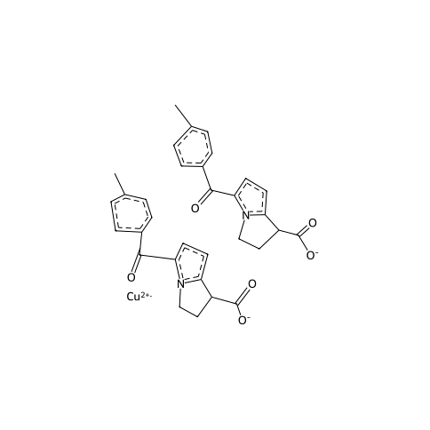 Cc1ccc(C(=O)c2ccc3n2CCC3C(=O)[O-])cc1.Cc1ccc(C(=O)c2ccc3n2CCC3C(=O)[O-])cc1.[Cu+2]